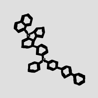 C1=CCCC(N(c2ccc(-c3ccc(-c4ccccc4)cc3)cc2)c2cccc(-c3cccc4c3c3ccccc3n4-c3cccc4ccccc34)c2)=C1